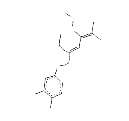 CC/C(=C\C(ONC)=C(C)C)COc1ccc(Cl)c(Cl)c1